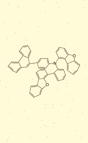 c1ccc(N(c2ccc(-c3cc4ccccc4c4ccccc34)cc2)c2cccc3oc4ccccc4c23)c(-c2cccc3c2oc2ccccc23)c1